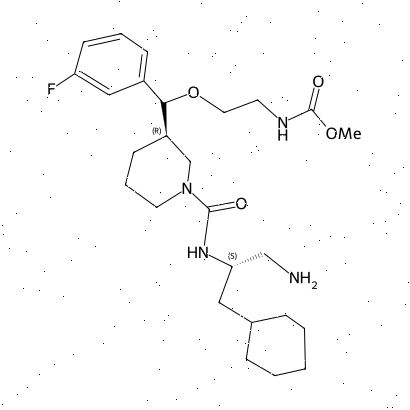 COC(=O)NCCOC(c1cccc(F)c1)[C@@H]1CCCN(C(=O)N[C@H](CN)CC2CCCCC2)C1